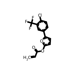 C=CC(=O)Oc1ccc(-c2ccc(Cl)c(C(F)(F)F)c2)o1